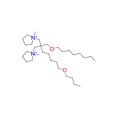 CCCCCCCCOCC(CCCCCOCCCC)(C[N+]1(C)CCCC1)C[N+]1(C)CCCC1